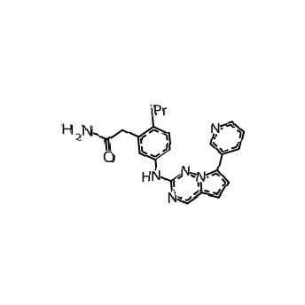 CC(C)c1ccc(Nc2ncc3ccc(-c4cccnc4)n3n2)cc1CC(N)=O